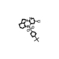 CC(C)(C)c1ccc(S(=O)(=O)Nc2cc(Cl)cnc2-n2ccc3ccccc32)cc1